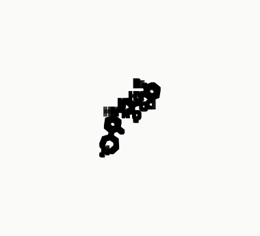 COc1nc(Nc2ccc(C3CCCN(C)CC3)c(C)c2)ncc1C(=O)Nc1c(Cl)cccc1Br